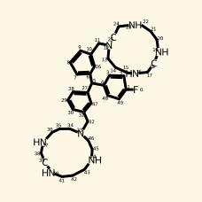 Fc1ccc(C(c2cccc(CN3CCCNCCNCCCNCC3)c2)c2cccc(CN3CCCNCCNCCCNCC3)c2)cc1